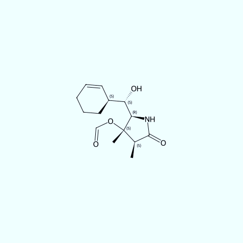 C[C@@H]1C(=O)N[C@H]([C@@H](O)[C@@H]2C=CCCC2)[C@@]1(C)OC=O